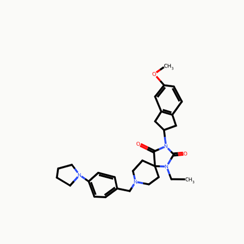 CCN1C(=O)N(C2Cc3ccc(OC)cc3C2)C(=O)C12CCN(Cc1ccc(N3CCCC3)cc1)CC2